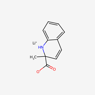 CC1(C(=O)[O-])C=Cc2ccccc2N1.[Li+]